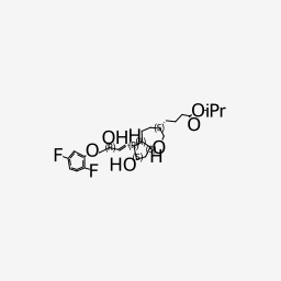 CC(C)OC(=O)CCC[C@H]1CC[C@@H]2[C@@H](C=C[C@@H](O)COc3cc(F)ccc3F)[C@@H](O)C[C@@H]2OC1